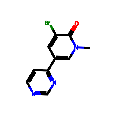 Cn1cc(-c2ccncn2)cc(Br)c1=O